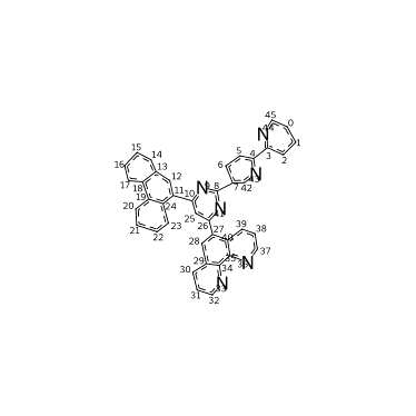 c1ccc(-c2ccc(-c3nc(-c4cc5ccccc5c5ccccc45)cc(-c4cc5cccnc5c5ncccc45)n3)cn2)nc1